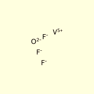 [F-].[F-].[F-].[O-2].[V+5]